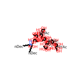 CCCCCCCCCCCCC/C=C/[C@@H](O)[C@H](CO[C@@H]1OC(CO)[C@@H](O[C@@H]2OC(CO)[C@H](O)[C@H](O[C@@H]3OC(CO)[C@@H](O[C@@H]4OC(CO)[C@H](O)[C@H](O[C@@H]5OC(CO)[C@@H](O[C@H]6OC(C)[C@@H](O)C(O)[C@@H]6O)[C@H](O[C@@H]6OC(CO)[C@H](O)[C@H](O[C@]7(C(=O)O)CC(O)[C@@H](NC(C)=O)C([C@H](O)[C@H](O)CO)O7)C6O)C5NC(C)=O)C4O)[C@H](O[C@H]4OC(C)[C@@H](O)C(O)[C@@H]4O)C3NC(C)=O)C2O)[C@H](O)C1O)NC(=O)CCCCCCCCCCCCCCC